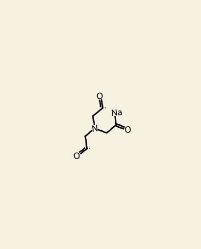 O=[C]CN(C[C]=O)C[C](=O)[Na]